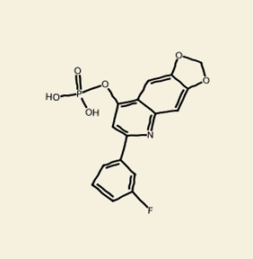 O=P(O)(O)Oc1cc(-c2cccc(F)c2)nc2cc3c(cc12)OCO3